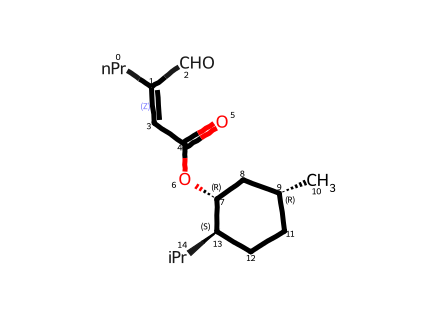 CCC/C(C=O)=C/C(=O)O[C@@H]1C[C@H](C)CC[C@H]1C(C)C